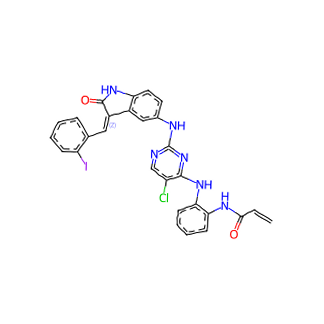 C=CC(=O)Nc1ccccc1Nc1nc(Nc2ccc3c(c2)/C(=C/c2ccccc2I)C(=O)N3)ncc1Cl